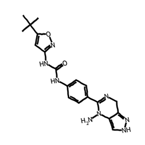 CC(C)(C)c1cc(NC(=O)Nc2ccc(C3=NCc4n[nH]cc4N3N)cc2)no1